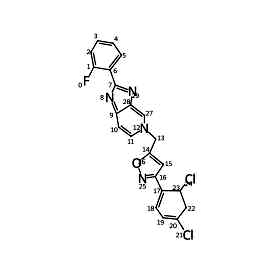 Fc1ccccc1-c1nc2ccn(Cc3cc(C4=CC=C(Cl)CC4Cl)no3)cc-2n1